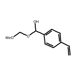 C=Cc1ccc(C(O)OCOC)cc1